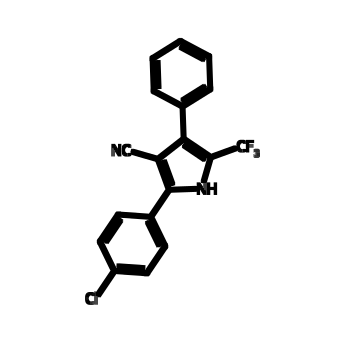 N#Cc1c(-c2ccc(Cl)cc2)[nH]c(C(F)(F)F)c1-c1ccccc1